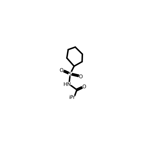 CC(C)C(=O)NS(=O)(=O)C1CCCCC1